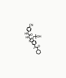 CN(C(=O)C1CCCCC1)c1ccc2c(c1)nc(NC(=O)Nc1ccc(C#N)cc1)n2CC(C)(C)O